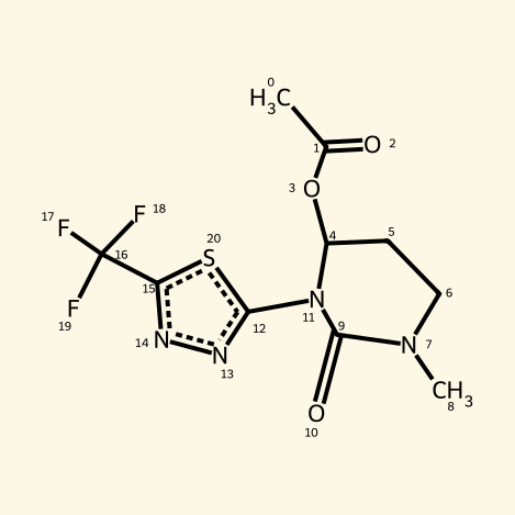 CC(=O)OC1CCN(C)C(=O)N1c1nnc(C(F)(F)F)s1